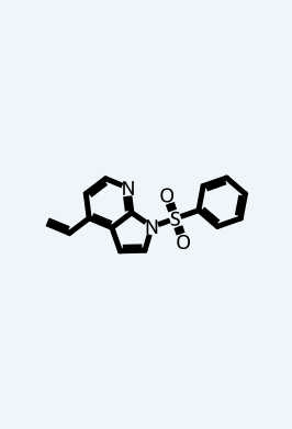 C=Cc1ccnc2c1ccn2S(=O)(=O)c1ccccc1